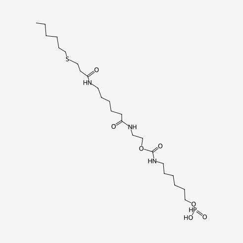 CCCCCCSCCC(=O)NCCCCCC(=O)NCCOC(=O)NCCCCCCO[PH](=O)O